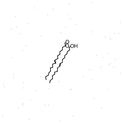 CCCCCCCCC=CCCCCCCCC(=O)O.CCCCCCCCC=CCCCCCCCC=O